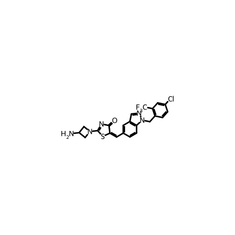 NC1CN(C2=NC(=O)C(=Cc3ccc4c(cnn4Cc4ccc(Cl)cc4C(F)(F)F)c3)S2)C1